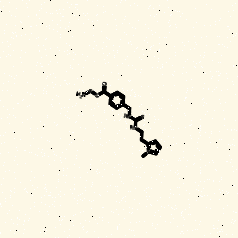 Cn1cccc1CCNC(=S)NCc1ccc(C(=O)OSN)cc1